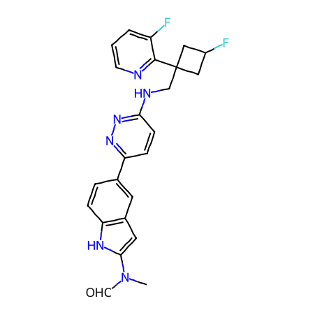 CN(C=O)c1cc2cc(-c3ccc(NCC4(c5ncccc5F)CC(F)C4)nn3)ccc2[nH]1